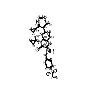 CCS(=O)(=O)c1ccc(CNc2nc3cnc(-c4c(C)ncnc4C4CC4)nc3n(C3(C)CC3)c2=O)cc1